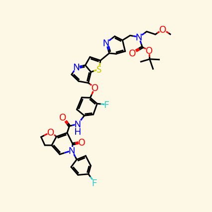 COCCN(Cc1ccc(-c2cc3nccc(Oc4ccc(NC(=O)c5c6c(cn(-c7ccc(F)cc7)c5=O)CCO6)cc4F)c3s2)nc1)C(=O)OC(C)(C)C